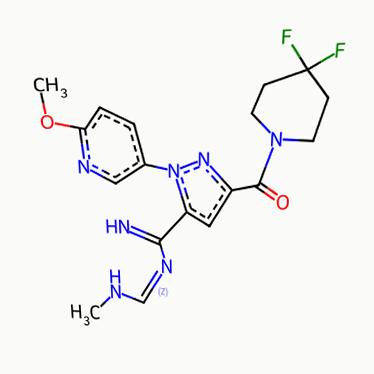 CN/C=N\C(=N)c1cc(C(=O)N2CCC(F)(F)CC2)nn1-c1ccc(OC)nc1